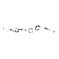 CCCCCOc1ccc([C@H]2CC[C@H](C=CC#Cc3ccc(CCCC)cc3)CC2)cc1